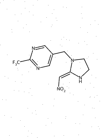 O=[N+]([O-])/C=C1\NCCN1Cc1cnc(C(F)(F)F)nc1